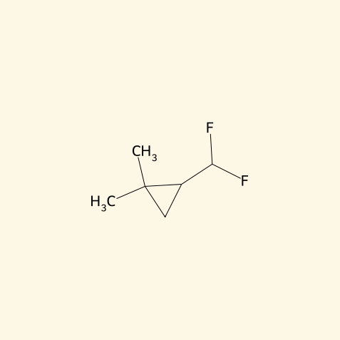 CC1(C)CC1C(F)F